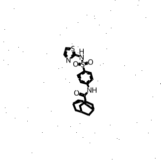 O=C(Nc1ccc(S(=O)(=O)Nc2nccs2)cc1)C12CC3CC(CC(C3)C1)C2